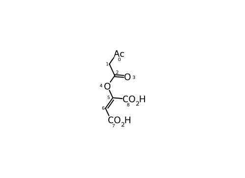 CC(=O)CC(=O)O/C(=C/C(=O)O)C(=O)O